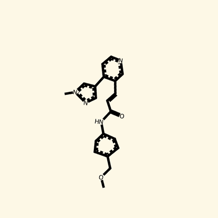 COCc1ccc(NC(=O)/C=C/c2cnccc2-c2cnn(C)c2)cc1